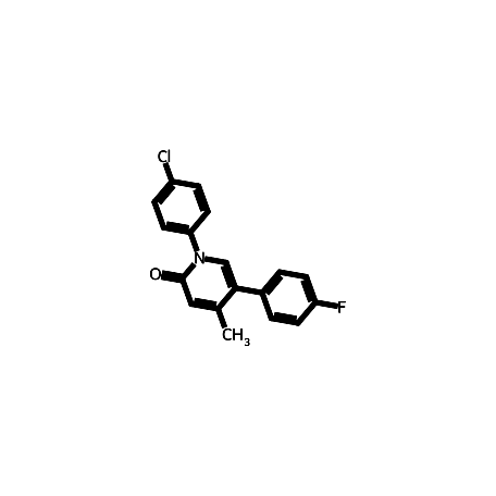 Cc1cc(=O)n(-c2ccc(Cl)cc2)cc1-c1ccc(F)cc1